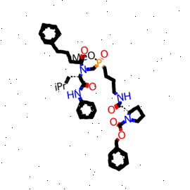 CO[P@](=O)(CCCCNC(=O)[C@@H]1CCCN1C(=O)OCc1ccccc1)CN(C(=O)CCCc1ccccc1)[C@@H](CC(C)C)C(=O)Nc1ccccc1